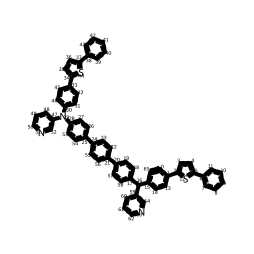 c1c(-c2ccc(-c3ccccc3)s2)ccc(C(c2ccc(-c3ccc(-c4ccc(N(c5ccc(-c6ccc(-c7ccccc7)s6)cc5)c5cccnc5)cc4)cc3)cc2)c2cccnc2)c#1